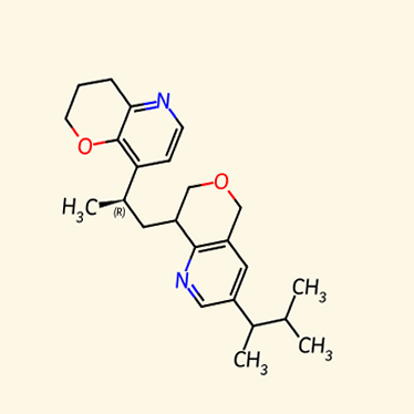 CC(C)C(C)c1cnc2c(c1)COCC2C[C@@H](C)c1ccnc2c1OCCC2